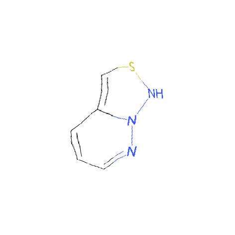 C1=CC2=CSNN2N=C1